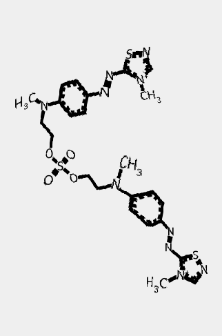 CN(CCOS(=O)(=O)OCCN(C)c1ccc(/N=N/c2snc[n+]2C)cc1)c1ccc(/N=N/c2snc[n+]2C)cc1